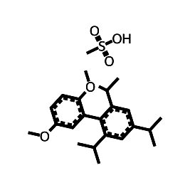 COc1ccc(OC)c(-c2c(C(C)C)cc(C(C)C)cc2C(C)C)c1.CS(=O)(=O)O